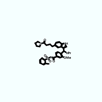 CCCC(c1ccc(C(=O)NS(=O)(=O)c2ccccc2C)cc1OC)c1c[nH]c2ccc(CCCC(=O)N3CCCC3)cc12